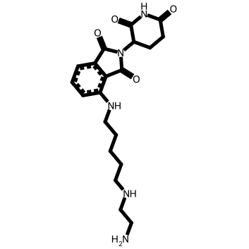 NCCNCCCCCNc1cccc2c1C(=O)N(C1CCC(=O)NC1=O)C2=O